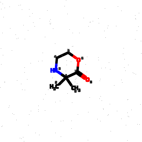 CC1(C)NCCOC1=O